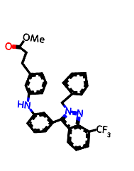 COC(=O)CCc1cccc(Nc2cccc(-c3c4cccc(C(F)(F)F)c4nn3Cc3ccccc3)c2)c1